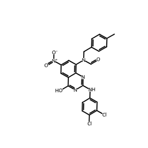 Cc1ccc(CN(C=O)c2cc([N+](=O)[O-])cc3c(O)nc(Nc4ccc(Cl)c(Cl)c4)nc23)cc1